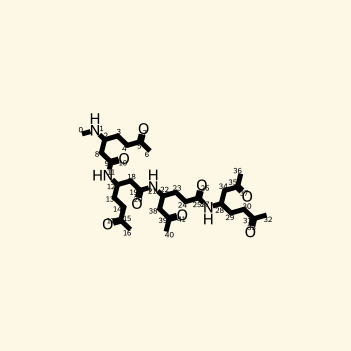 CNC(CCC(C)=O)CC(=O)NC(CCC(C)=O)CC(=O)NC(CCC(=O)NC(CCC(C)=O)CC(C)=O)CC(C)=O